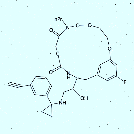 C#Cc1cccc(C2(NCC(O)C3Cc4cc(F)cc(c4)OCCCCN(CCC)C(=O)CCC(=O)N3)CC2)c1